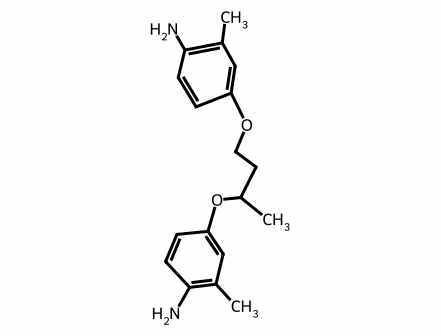 Cc1cc(OCCC(C)Oc2ccc(N)c(C)c2)ccc1N